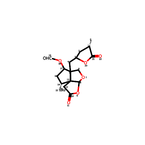 C[C@H]1CC(CC23COC4OC(=O)CC42[C@H](C(C)(C)C)CC3OC=O)OC1=O